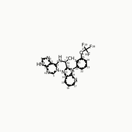 C[C@H](Nc1ncnc2[nH]cnc12)c1nc2cccnc2n1-c1cccc(OC(F)(F)F)c1